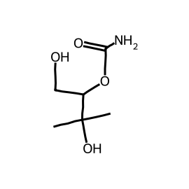 CC(C)(O)C(CO)OC(N)=O